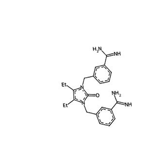 CCc1c(CC)n(Cc2cccc(C(=N)N)c2)c(=O)n1Cc1cccc(C(=N)N)c1